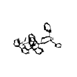 C[Si]1(c2ccccc2)c2ccccc2-c2cccc(-c3c4ccccc4c(-c4cc(-c5ccccc5)nc(-c5ccccc5)c4)c4ccccc34)c21